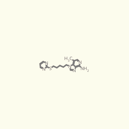 Cc1cnc(N)c2ncn(CCCCCSc3ncccn3)c12